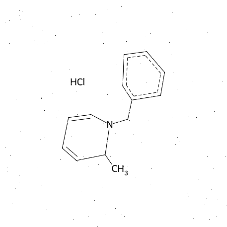 CC1C=CC=CN1Cc1ccccc1.Cl